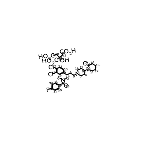 CN(C[C@@H](CCN1CCC(N2CCCCC2=O)CC1)c1ccc(Cl)c(Cl)c1)C(=O)c1ccc(F)cc1.O=C(O)CC(O)(CC(=O)O)C(=O)O